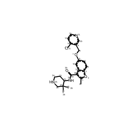 Cc1oc2ccc(OCc3cnccc3Cl)cc2c1C(=O)NC1CCNCC1(F)F